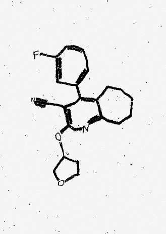 N#Cc1c(O[C@H]2CCOC2)nc2c(c1-c1cccc(F)c1)CCCCC2